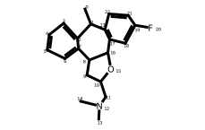 CC1c2ccccc2C2CC(CN(C)C)OC2c2cc(F)ccc21